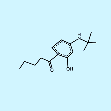 CCCCC(=O)c1ccc(NC(C)(C)C)cc1O